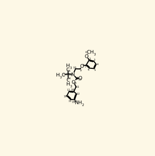 COc1ccccc1OCCN(C(=O)OCc1cccc(N)c1)C(C)(C)C